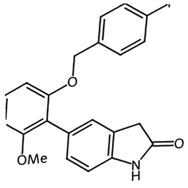 COc1cccc(OCc2ccc(F)cc2)c1-c1ccc2c(c1)CC(=O)N2